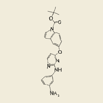 CC(C)(C)OC(=O)n1ccc2cc(Oc3ccnc(Nc4cccc(N)c4)n3)ccc21